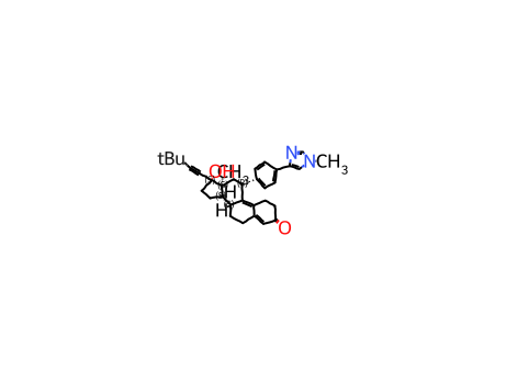 Cn1cnc(-c2ccc([C@H]3C[C@@]4(C)[C@@H](CC[C@@]4(O)C#CC(C)(C)C)[C@@H]4CCC5=CC(=O)CCC5=C43)cc2)c1